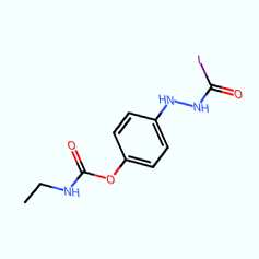 CCNC(=O)Oc1ccc(NNC(=O)I)cc1